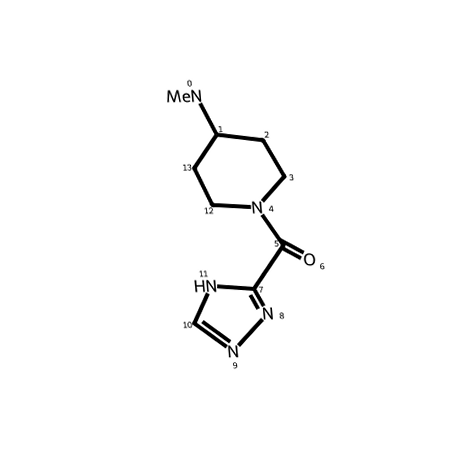 CNC1CCN(C(=O)c2nnc[nH]2)CC1